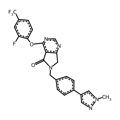 Cn1cc(-c2ccc(CN3Cc4ncnc(Oc5ccc(C(F)(F)F)cc5F)c4C3=O)cc2)cn1